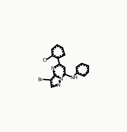 Clc1ccccc1-c1cc(Nc2ccccc2)n2ncc(Br)c2n1